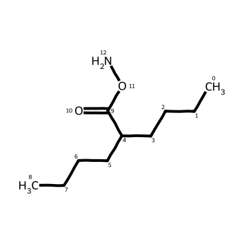 CCCCC(CCCC)C(=O)ON